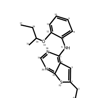 CCc1cc2c(Nc3ccccc3OC(C)CC)ncnc2s1